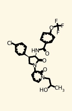 CC(O)Cn1cccc(N2C[C@@H](c3ccc(Cl)cc3)[C@H](NC(=O)c3ccc(OC(F)(F)F)cc3)C2=O)c1=O